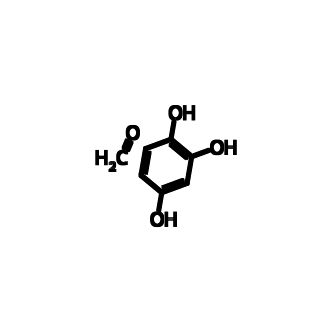 C=O.Oc1ccc(O)c(O)c1